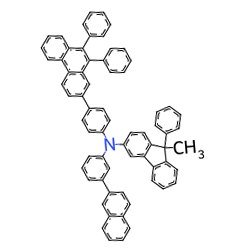 CC1(c2ccccc2)c2ccccc2-c2cc(N(c3ccc(-c4ccc5c(c4)c(-c4ccccc4)c(-c4ccccc4)c4ccccc45)cc3)c3cccc(-c4ccc5ccccc5c4)c3)ccc21